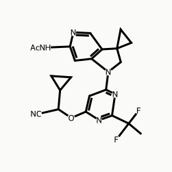 CC(=O)Nc1cc2c(cn1)C1(CC1)CN2c1cc(OC(C#N)C2CC2)nc(C(C)(F)F)n1